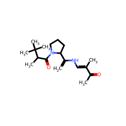 C=C(N/C=C(\C)C(C)=O)C1CCCN1C(=O)C(C)C(C)(C)C